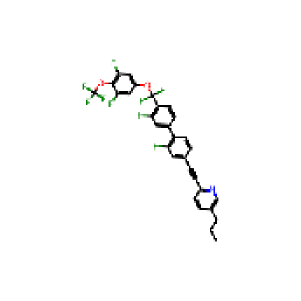 CCCc1ccc(C#Cc2ccc(-c3ccc(C(F)(F)Oc4cc(F)c(OC(F)(F)F)c(F)c4)c(F)c3)c(F)c2)nc1